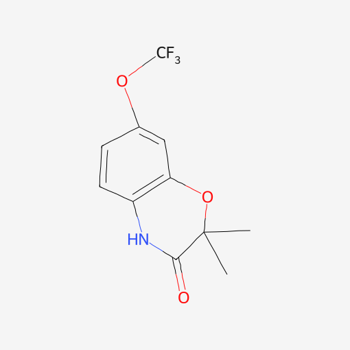 CC1(C)Oc2cc(OC(F)(F)F)ccc2NC1=O